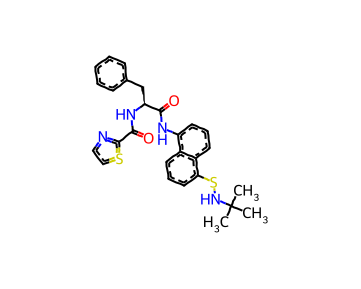 CC(C)(C)NSc1cccc2c(NC(=O)[C@H](Cc3ccccc3)NC(=O)c3nccs3)cccc12